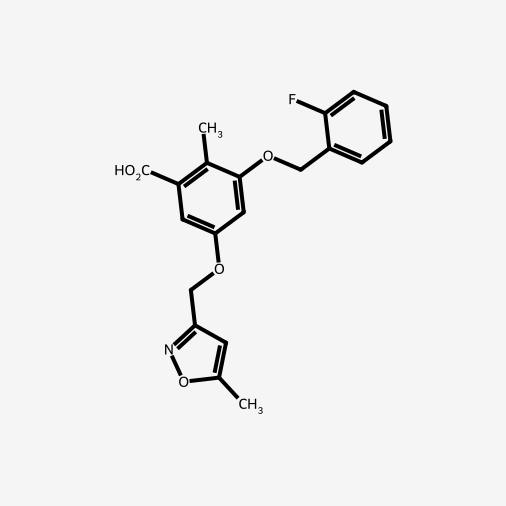 Cc1cc(COc2cc(OCc3ccccc3F)c(C)c(C(=O)O)c2)no1